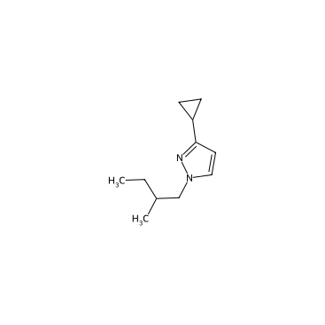 CCC(C)Cn1ccc(C2CC2)n1